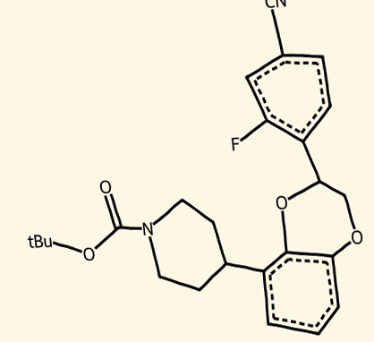 CC(C)(C)OC(=O)N1CCC(c2cccc3c2OC(c2ccc(C#N)cc2F)CO3)CC1